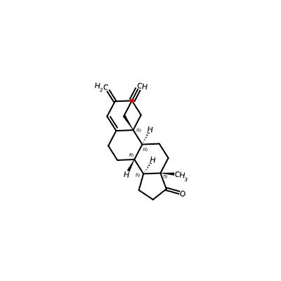 C#CC[C@]12CCC(=C)C=C1CC[C@@H]1[C@@H]2CC[C@]2(C)C(=O)CC[C@@H]12